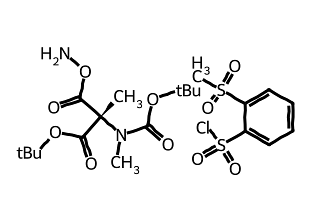 CN(C(=O)OC(C)(C)C)[C@@](C)(C(=O)ON)C(=O)OC(C)(C)C.CS(=O)(=O)c1ccccc1S(=O)(=O)Cl